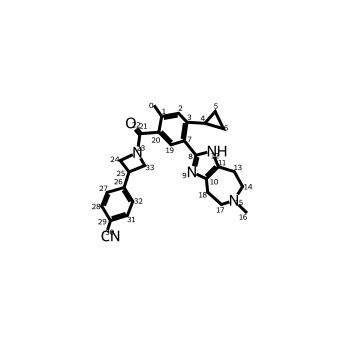 Cc1cc(C2CC2)c(-c2nc3c([nH]2)CCN(C)CC3)cc1C(=O)N1CC(c2ccc(C#N)cc2)C1